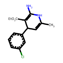 CCOC(=O)C1=C(N)NC(C)=CC1c1cccc(Cl)c1